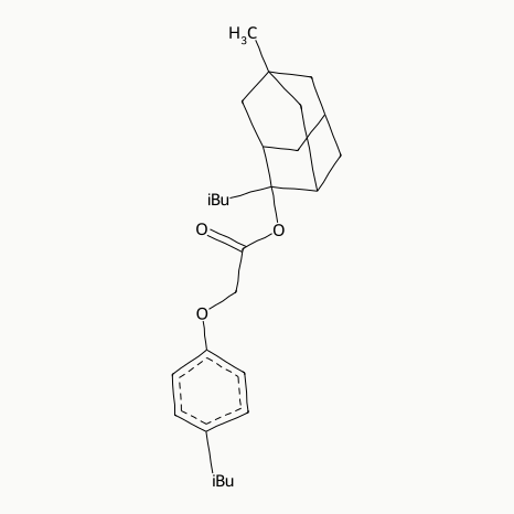 CCC(C)c1ccc(OCC(=O)OC2(C(C)CC)C3CC4CC2CC(C)(C4)C3)cc1